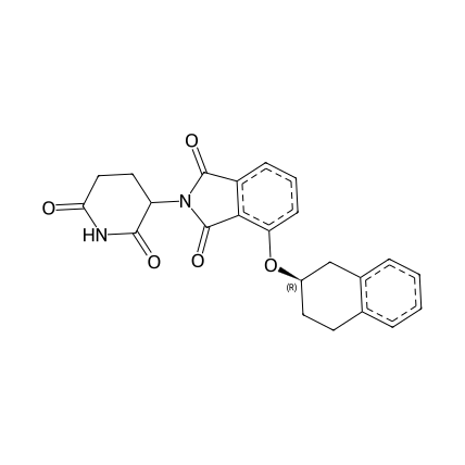 O=C1CCC(N2C(=O)c3cccc(O[C@@H]4CCc5ccccc5C4)c3C2=O)C(=O)N1